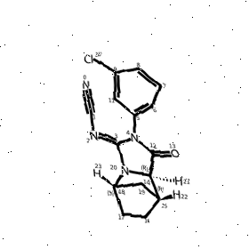 N#CN=C1N(c2cccc(Cl)c2)C(=O)[C@H]2[C@@H]3CC[C@@H](C3)N12